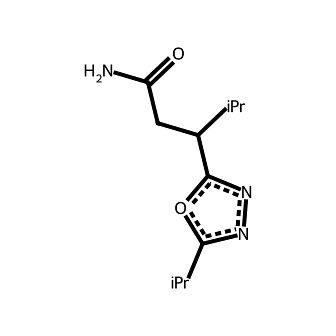 CC(C)c1nnc(C(CC(N)=O)C(C)C)o1